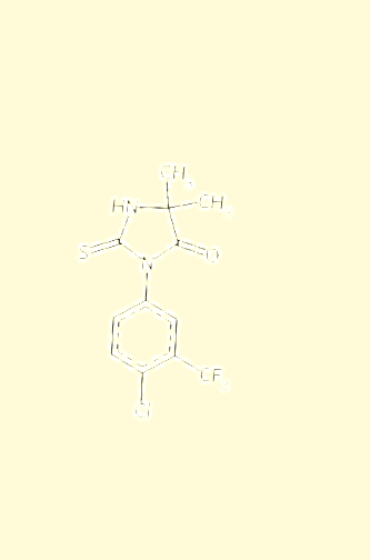 CC1(C)NC(=S)N(c2ccc(Cl)c(C(F)(F)F)c2)C1=O